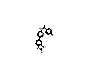 CC(Nc1ccc(-c2ccc3oc(=O)[nH]c3c2)cn1)c1ccc(F)cc1